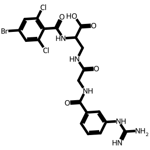 N=C(N)Nc1cccc(C(=O)NCC(=O)NCC(NC(=O)c2c(Cl)cc(Br)cc2Cl)C(=O)O)c1